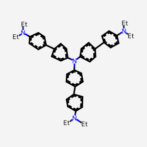 CCN(CC)c1ccc(-c2ccc(N(c3ccc(-c4ccc(N(CC)CC)cc4)cc3)c3ccc(-c4ccc(N(CC)CC)cc4)cc3)cc2)cc1